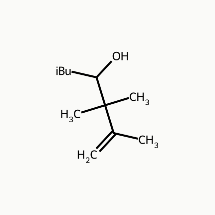 C=C(C)C(C)(C)C(O)C(C)CC